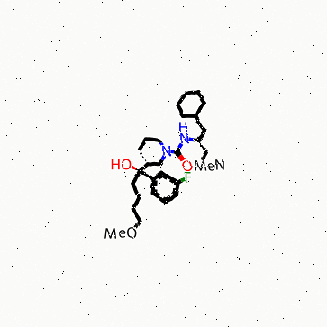 CNC[C@H](CC1CCCCC1)NC(=O)N1CCC[C@@H]([C@@](O)(CCCCOC)c2cccc(F)c2)C1